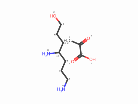 CC(=O)C(=O)O.NCCCC(N)CCCO